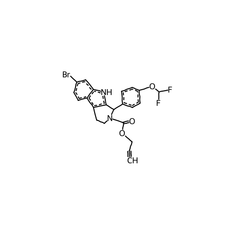 C#CCOC(=O)N1CCc2c([nH]c3cc(Br)ccc23)C1c1ccc(OC(F)F)cc1